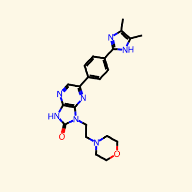 Cc1nc(-c2ccc(-c3cnc4[nH]c(=O)n(CCN5CCOCC5)c4n3)cc2)[nH]c1C